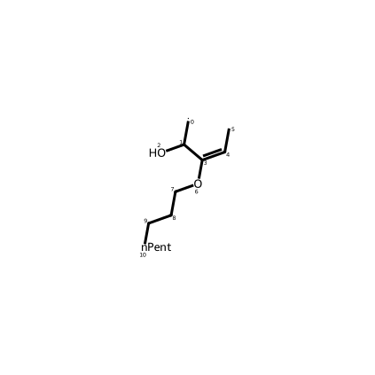 [CH2]C(O)C(=CC)OCCCCCCCC